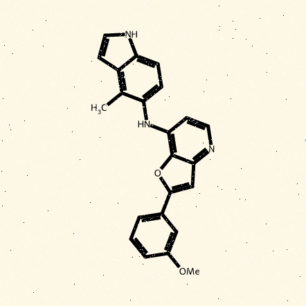 COc1cccc(-c2cc3nccc(Nc4ccc5[nH]ccc5c4C)c3o2)c1